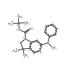 CN(c1ccccc1)c1cc2c(cn1)C(C)(C)CN2C(=O)OC(C)(C)C